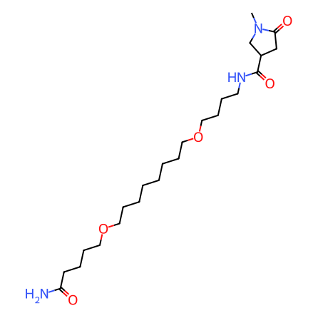 CN1CC(C(=O)NCCCCOCCCCCCCCOCCCCC(N)=O)CC1=O